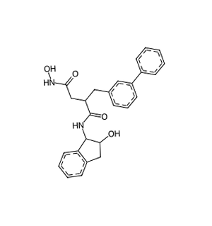 O=C(CC(Cc1cccc(-c2ccccc2)c1)C(=O)NC1c2ccccc2CC1O)NO